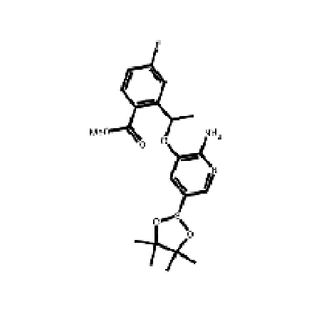 COC(=O)c1ccc(F)cc1C(C)Oc1cc(B2OC(C)(C)C(C)(C)O2)cnc1N